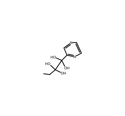 CCC(O)(O)C(O)(O)c1cnccn1